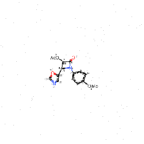 COc1ccc(N2C(=O)[C@H](OC(C)=O)[C@@H]2c2cnco2)cc1